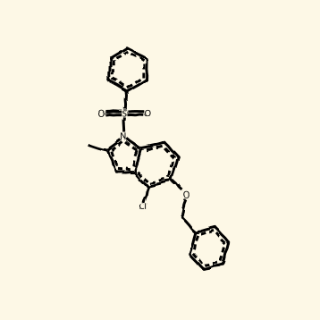 Cc1cc2c(Cl)c(OCc3ccccc3)ccc2n1S(=O)(=O)c1ccccc1